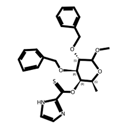 COC1O[C@@H](C)[C@@H](OC(=S)c2ncc[nH]2)[C@@H](OCc2ccccc2)[C@@H]1OCc1ccccc1